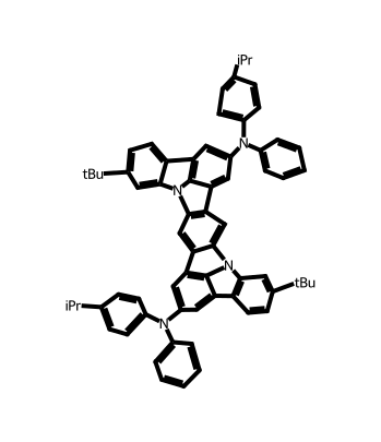 CC(C)c1ccc(N(c2ccccc2)c2cc3c4ccc(C(C)(C)C)cc4n4c5cc6c7cc(N(c8ccccc8)c8ccc(C(C)C)cc8)cc8c9ccc(C(C)(C)C)cc9n(c6cc5c(c2)c34)c87)cc1